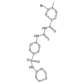 Cc1ccc(C(=O)NC(=S)Nc2ccc(S(=O)(=O)Nc3ccccc3)cc2)cc1Br